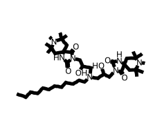 CCCCCCCCCCCCN(CC(O)CN1C(=O)NC2(CC(C)(C)N(C)C(C)(C)C2)C1=O)CC(O)CN1C(=O)NC2(CC(C)(C)N(C)C(C)(C)C2)C1=O